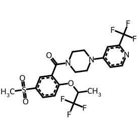 CC(Oc1ccc(S(C)(=O)=O)cc1C(=O)N1CCN(c2ccnc(C(F)(F)F)c2)CC1)C(F)(F)F